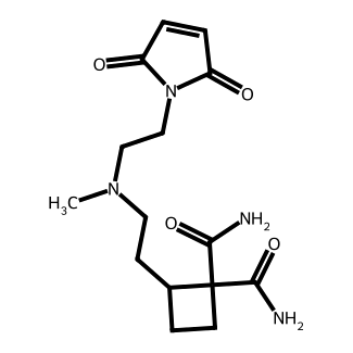 CN(CCC1CCC1(C(N)=O)C(N)=O)CCN1C(=O)C=CC1=O